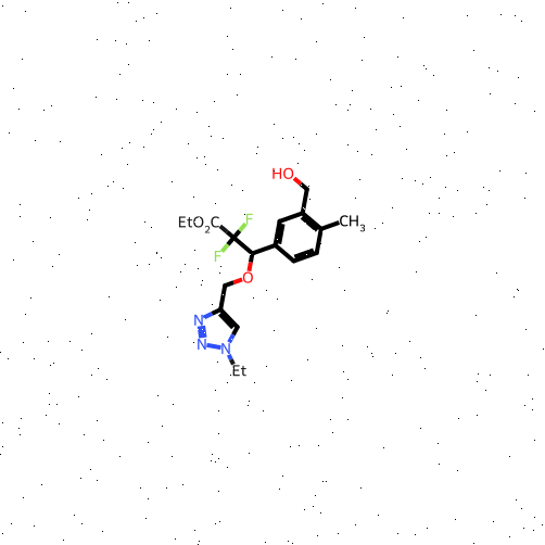 CCOC(=O)C(F)(F)C(OCc1cn(CC)nn1)c1ccc(C)c(CO)c1